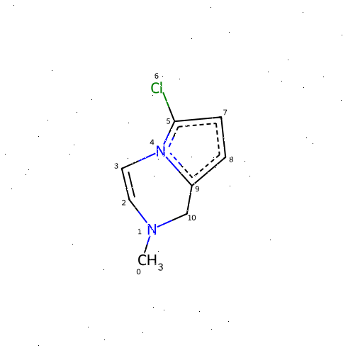 CN1C=Cn2c(Cl)ccc2C1